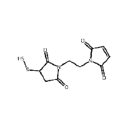 O=C1C=CC(=O)N1CCN1C(=O)CC(SS)C1=O